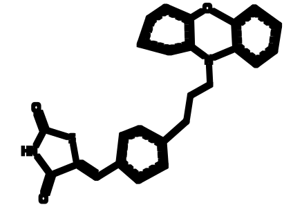 O=C1NC(=O)C(=Cc2ccc(CCCN3c4ccccc4Oc4ccccc43)cc2)S1